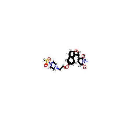 CS(=O)(=O)N1CCN(CCOc2ccc3c(ccc4occ([C@@H]5CCC(=O)NC5=O)c43)c2)CC1